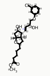 COC(=O)CCCCC1C[C@@H]2[C@@H](/C=C/[C@@H](O)COc3cccc(Cl)c3)[C@H](O)C[C@H]2O1